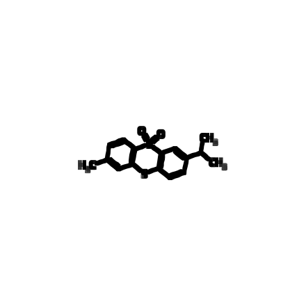 Cc1ccc2c(c1)Sc1ccc(C(C)C)cc1S2(=O)=O